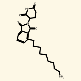 NCCCCCCCCCc1cccc2c1C(=O)N(C1CCC(=O)NC1=O)C2=O